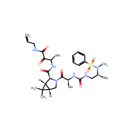 C=CCNC(=O)C(=O)C(CCCC)NC(=O)[C@@H]1[C@@H]2[C@H](CN1C(=O)[C@@H](NC(=O)NC[C@@H](N(C)S(=O)(=O)c1ccccc1)C(C)(C)C)C(C)(C)C)C2(C)C